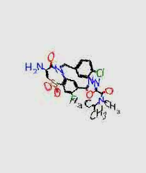 CC(C)N(C)C(=O)c1nnc(-c2cc3c(cc2F)S(=O)(=O)C=C(N)C(=O)N3Cc2ccc(Cl)cc2)o1